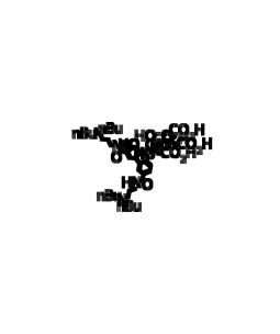 CCCCN(CCCC)CCCNC(=O)c1ccc2sc3ccc(C(=O)NCCCN(CCCC)CCCC)cc3c2c1.O=C(O)CC(O)(CC(=O)O)C(=O)O.O=C(O)CC(O)(CC(=O)O)C(=O)O